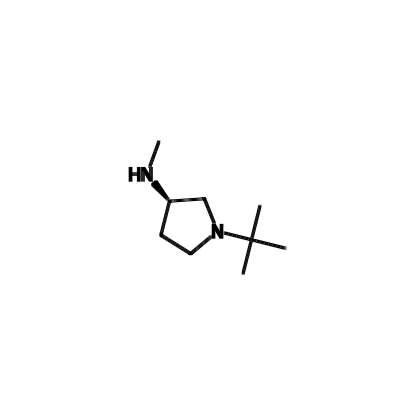 CN[C@@H]1CCN(C(C)(C)C)C1